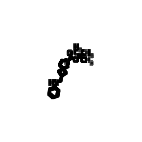 CC(C)(C)OC(=O)N1CCC2(CC(CNc3ccccc3)C2)C1